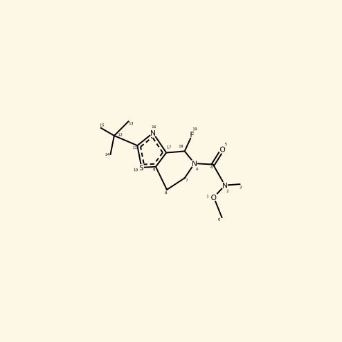 CON(C)C(=O)N1CCc2sc(C(C)(C)C)nc2C1F